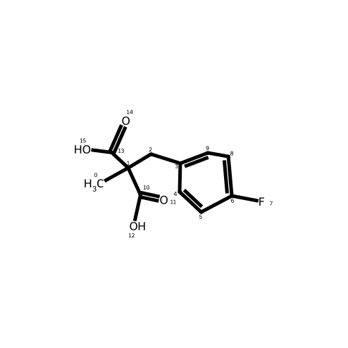 CC(Cc1ccc(F)cc1)(C(=O)O)C(=O)O